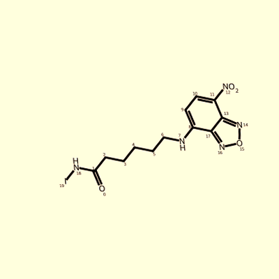 O=C(CCCCCNc1ccc([N+](=O)[O-])c2nonc12)NI